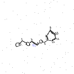 ClCO/C=C/OCc1ccccc1